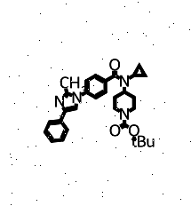 Cc1nc(-c2ccccc2)cn1-c1ccc(C(=O)N(C2CC2)C2CCN(C(=O)OC(C)(C)C)CC2)cc1